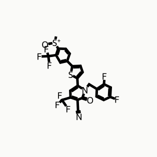 C[S+]([O-])c1ccc(-c2ccc(-c3cc(C(F)(F)F)c(C#N)c(=O)n3Cc3ccc(F)cc3F)s2)cc1C(F)(F)F